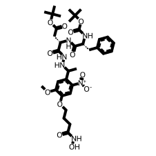 COc1cc(C(C)NNC(=O)[C@H](CC(=O)OC(C)(C)C)NC(=O)[C@@H](Cc2ccccc2)NC(=O)OC(C)(C)C)c([N+](=O)[O-])cc1OCCCC(=O)NO